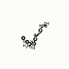 NC(=O)c1c(-c2ccc(Oc3ccccc3)cc2)nn2c1NCCC2C1CCN(C(=O)/C=C/CN2CCN(CCNC(=O)O)CC2)CC1